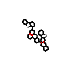 c1ccc(-c2ccc(-c3ccc4ccccc4c3)cc2N(c2cccc(-c3cccc4c3oc3ccccc34)c2)c2cccc3oc4ccccc4c23)cc1